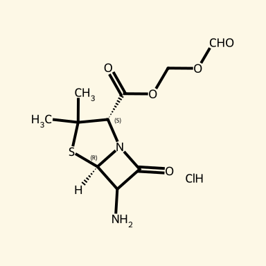 CC1(C)S[C@@H]2C(N)C(=O)N2[C@H]1C(=O)OCOC=O.Cl